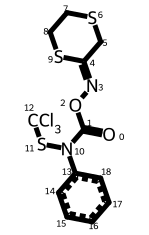 O=C(ON=C1CSCCS1)N(SC(Cl)(Cl)Cl)c1ccccc1